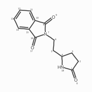 O=C1CCC(CCN2C(=O)c3ccccc3C2=O)N1